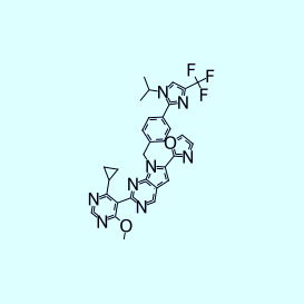 COc1ncnc(C2CC2)c1-c1ncc2cc(-c3ncco3)n(Cc3ccc(-c4nc(C(F)(F)F)cn4C(C)C)cc3)c2n1